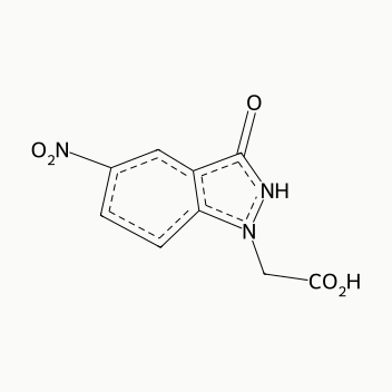 O=C(O)Cn1[nH]c(=O)c2cc([N+](=O)[O-])ccc21